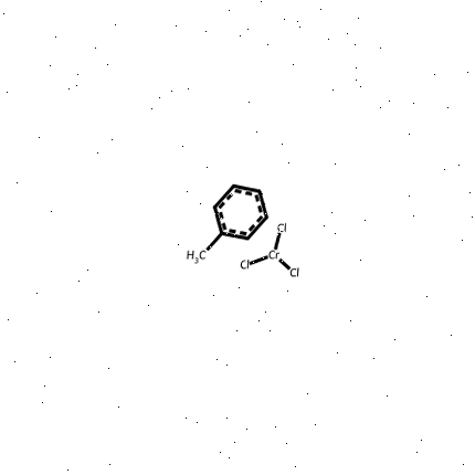 Cc1ccccc1.[Cl][Cr]([Cl])[Cl]